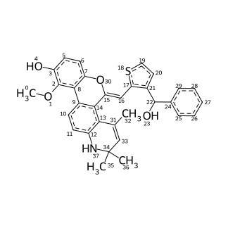 COc1c(O)ccc2c1-c1ccc3c(c1/C(=C/c1sccc1C(O)c1ccccc1)O2)C(C)=CC(C)(C)N3